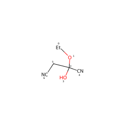 CCOC(O)(C#N)CC#N